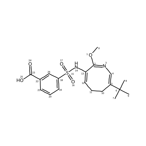 COC1=N/C=C(/C(C)(C)C)CC/C=C\1NS(=O)(=O)c1cccc(C(=O)O)c1